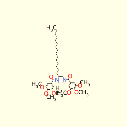 CCCCCCCCCCCCCCCC1CN(C(=O)c2cc(OC)c(OC)c(OC)c2)CCN1C(=O)c1cc(OC)c(OC)c(OC)c1